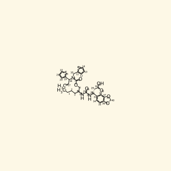 CCCC[C@@H](COC(=O)N(Cc1cccs1)C(CC)c1cccs1)NC(=O)N[C@H](CC(=O)O)c1ccc2c(c1)OCO2